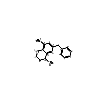 CCCCc1cc(Cc2ccccc2)cc2c1NCCC2C(C)(C)C